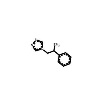 CC(Cn1cnnc1)c1ccccc1